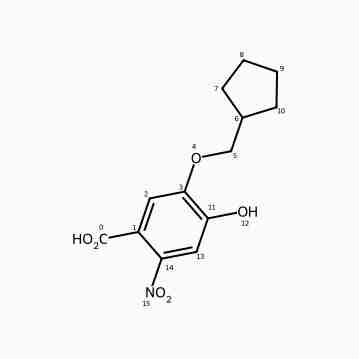 O=C(O)c1cc(OCC2CCCC2)c(O)cc1[N+](=O)[O-]